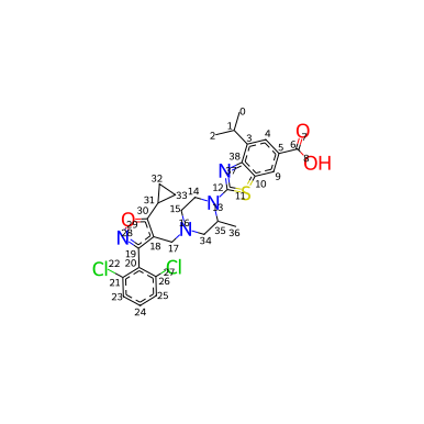 CC(C)c1cc(C(=O)O)cc2sc(N3CCN(Cc4c(-c5c(Cl)cccc5Cl)noc4C4CC4)CC3C)nc12